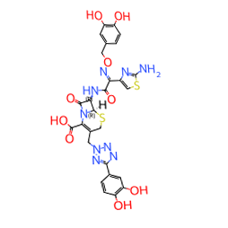 Nc1nc(C(=NOCc2ccc(O)c(O)c2)C(=O)N[C@@H]2C(=O)N3C(C(=O)O)=C(Cn4nnc(-c5ccc(O)c(O)c5)n4)CS[C@H]23)cs1